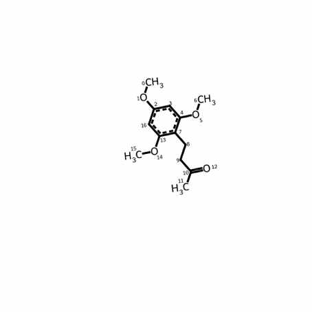 COc1cc(OC)c(CCC(C)=O)c(OC)c1